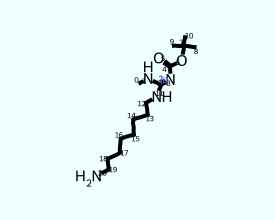 CN/C(=N\C(=O)OC(C)(C)C)NCCCCCCCCN